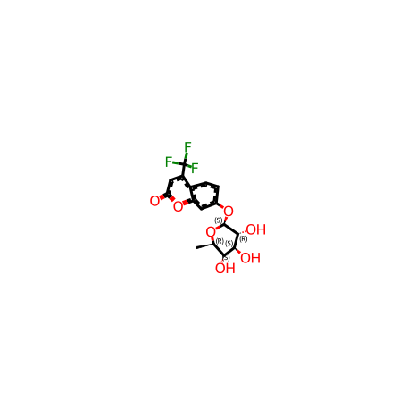 C[C@H]1O[C@@H](Oc2ccc3c(C(F)(F)F)cc(=O)oc3c2)[C@H](O)[C@@H](O)[C@@H]1O